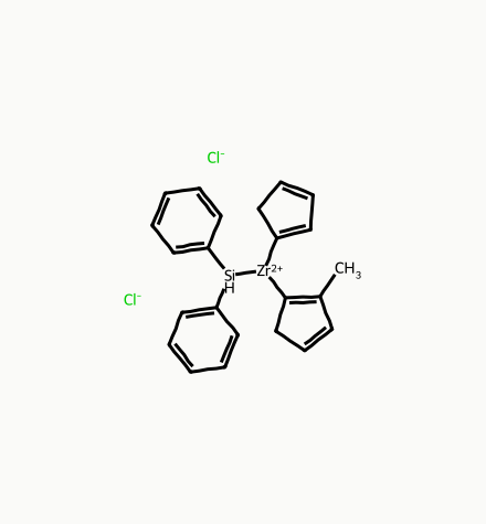 CC1=[C]([Zr+2]([C]2=CC=CC2)[SiH](c2ccccc2)c2ccccc2)CC=C1.[Cl-].[Cl-]